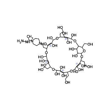 CC(NN)N1CCN(CCC2OC(O)/C(O)=C(/O)C(CCO)OC(O)/C(O)=C(\O)C(CCO)OC(O)/C(O)=C(/O)C(CCO)OC3OC(CO)C(OC(O)/C(O)=C(\O)C(CCO)OC(O)/C(O)=C/2O)C(O)C3O)CC1